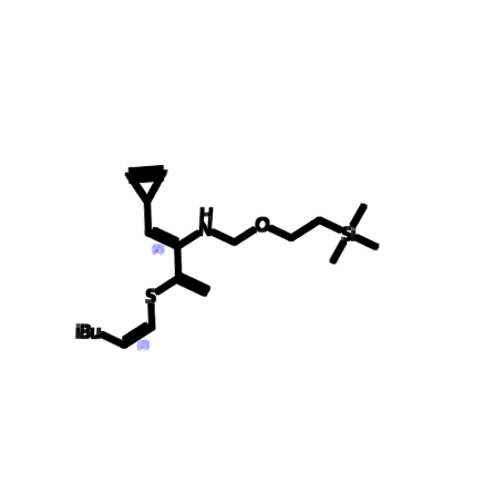 C=C(S/C=C\C(C)CC)/C(=C/C1C#C1)NCOCC[Si](C)(C)C